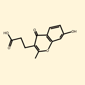 Cc1oc2cc(O)ccc2c(=O)c1CCC(=O)O